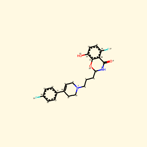 O=C1NC(CCCN2CC=C(c3ccc(F)cc3)CC2)Oc2c(O)ccc(F)c21